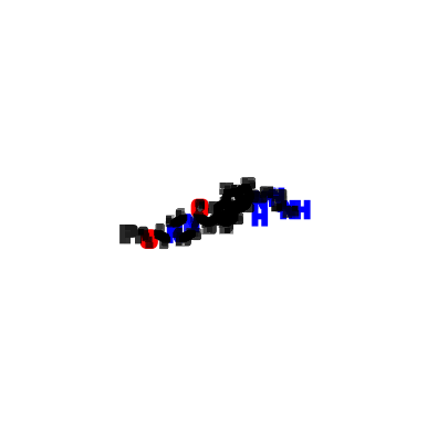 CC(C)OCCN1CCN(C(=O)CC23CCC4C(CC5CC(N/C=N\C=N)(C2)C54)C3)CC1